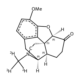 [2H]C([2H])([2H])N1CC[C@]23c4c5ccc(OC)c4O[C@H]2C(=O)CC[C@H]3[C@H]1C5